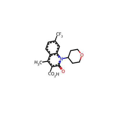 Cc1c(C(=O)O)c(=O)n(C2CCOCC2)c2cc(C(F)(F)F)ccc12